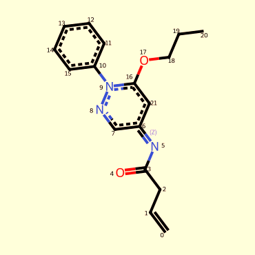 C=CCC(=O)/N=c1\cnn(-c2ccccc2)c(OCCC)c1